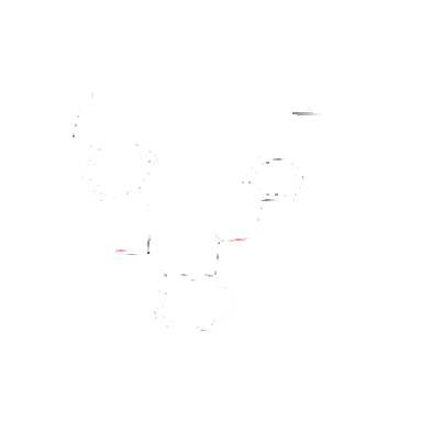 CCc1ccc(OC(=O)c2ccccc2C(=O)Oc2ccc(CC)cc2)cc1